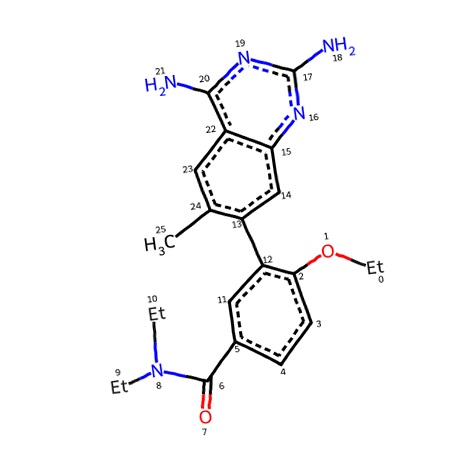 CCOc1ccc(C(=O)N(CC)CC)cc1-c1cc2nc(N)nc(N)c2cc1C